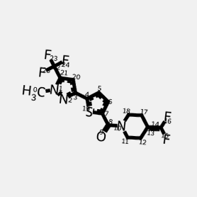 Cn1nc(-c2ccc(C(=O)N3CCC(=C(F)F)CC3)s2)cc1C(F)(F)F